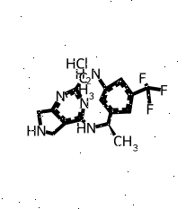 Cc1nc2c(c(N[C@H](C)c3cc(N)cc(C(F)(F)F)c3)n1)CNC2.Cl